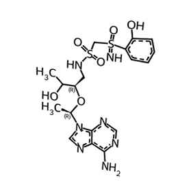 CC(O)[C@@H](CNS(=O)(=O)CS(=N)(=O)c1ccccc1O)O[C@H](C)n1cnc2c(N)ncnc21